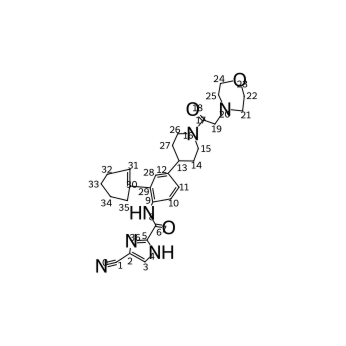 N#Cc1c[nH]c(C(=O)Nc2ccc(C3CCN(C(=O)CN4CCOCC4)CC3)cc2C2=CCCCC2)n1